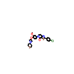 COc1cc(-n2ccc3nc(-c4ccc(Cl)cc4)sc3c2=O)ccc1OC1CN(C2CCSCC2)C1